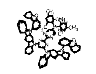 Cc1cc(C)c(B(c2cnc(-c3nc(-n4c5ccccc5c5cc6c7ccccc7n(-c7cccc8oc9ccccc9c78)c6cc54)cc(-n4c5ccccc5c5cc6c7ccccc7n(-c7cccc8oc9ccccc9c78)c6cc54)n3)nc2)c2c(C)cc(C)cc2C)c(C)c1